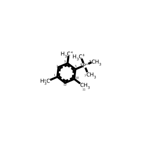 Cc1cc(C)c([P+](C)(C)C)c(C)c1